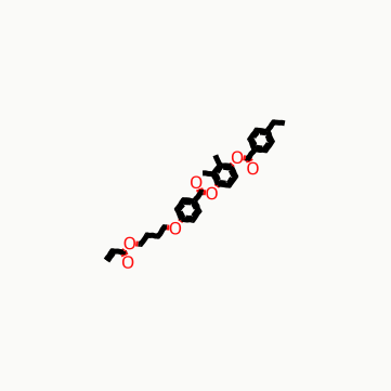 C=CC(=O)OCCCCOc1ccc(C(=O)Oc2ccc(OC(=O)c3ccc(CC)cc3)c(C)c2C)cc1